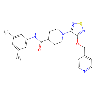 Cc1cc(NC(=O)C2CCN(c3nsnc3OCc3ccncc3)CC2)cc(C(F)(F)F)c1